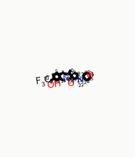 CC1C2Cc3ccc(C(O)C(F)(F)F)cc3CN2C(=O)[C@]12CC[C@@H](N(C)C1CCOCC1)C2